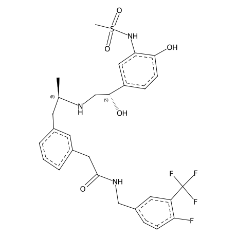 C[C@H](Cc1cccc(CC(=O)NCc2ccc(F)c(C(F)(F)F)c2)c1)NC[C@@H](O)c1ccc(O)c(NS(C)(=O)=O)c1